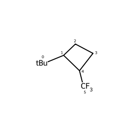 CC(C)(C)C1CCC1C(F)(F)F